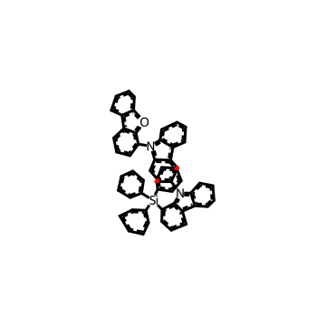 c1ccc([Si](c2ccccc2)(c2ccccc2)c2cccc3c4ccccc4n(-c4ccc5c(c4)c4ccccc4n5-c4cccc5c4oc4ccccc45)c23)cc1